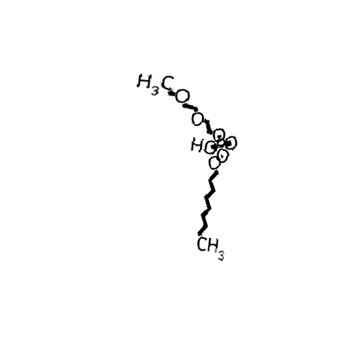 CCCCCCCCCOOP(=O)(O)OCCOCCOCC